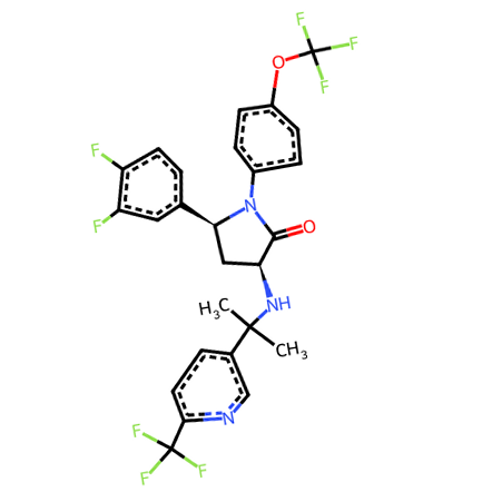 CC(C)(N[C@H]1C[C@@H](c2ccc(F)c(F)c2)N(c2ccc(OC(F)(F)F)cc2)C1=O)c1ccc(C(F)(F)F)nc1